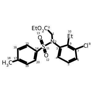 CCOC(=O)CN(c1cccc(Cl)c1CC)S(=O)(=O)c1ccc(C)cc1